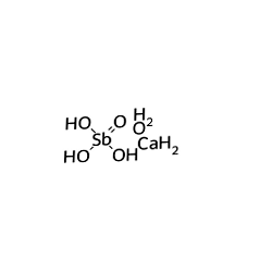 O.[CaH2].[O]=[Sb]([OH])([OH])[OH]